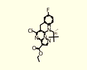 CCOC(=O)c1cnn2c(N[C@H](C)C(C)(C)C)c(Cc3cccc(F)c3)c(Cl)nc12